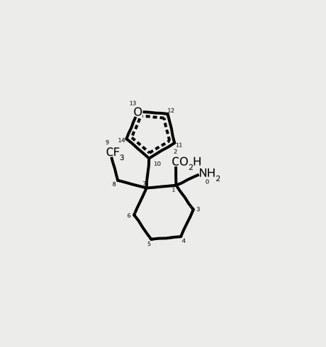 NC1(C(=O)O)CCCCC1(CC(F)(F)F)c1ccoc1